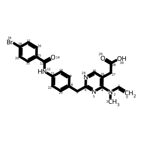 C=CN(C)c1nc(Cc2ccc(NC(=O)c3ccc(Br)cc3)cc2)ncc1CC(=O)O